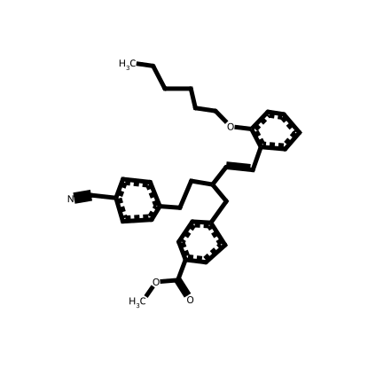 CCCCCCOc1ccccc1C=CC(CCc1ccc(C#N)cc1)Cc1ccc(C(=O)OC)cc1